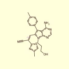 Cc1ccc(-c2c(/C=C(/C#N)c3nc(C)cs3)n(CCCO)c3ncnc(N)c23)cc1